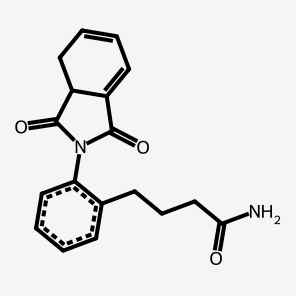 NC(=O)CCCc1ccccc1N1C(=O)C2=CC=CCC2C1=O